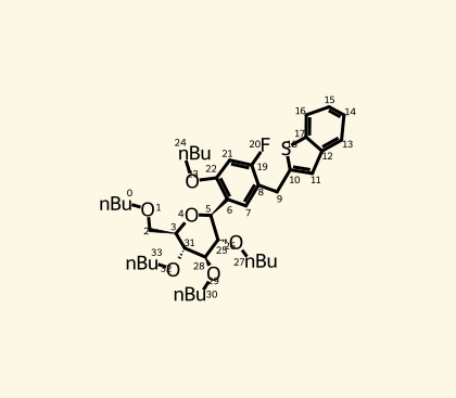 CCCCOC[C@H]1O[C@@H](c2cc(Cc3cc4ccccc4s3)c(F)cc2OCCCC)[C@H](OCCCC)[C@@H](OCCCC)[C@@H]1OCCCC